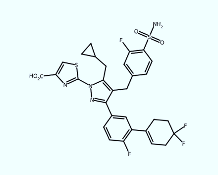 NS(=O)(=O)c1ccc(Cc2c(-c3ccc(F)c(C4=CCC(F)(F)CC4)c3)nn(-c3nc(C(=O)O)cs3)c2CC2CC2)cc1F